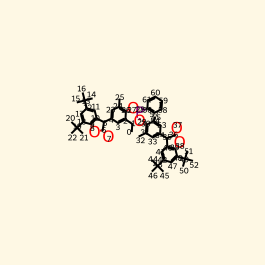 CCc1cc(C2C(=O)Oc3c2cc(C(C)(C)C)cc3C(C)(C)C)cc(C)c1OP(Oc1c(C)cc(C2C(=O)Oc3c2cc(C(C)(C)C)cc3C(C)(C)C)cc1C)c1ccccc1